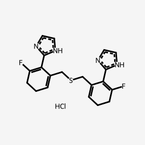 Cl.FC1=C(c2ncc[nH]2)C(CSCC2=CCCC(F)=C2c2ncc[nH]2)=CCC1